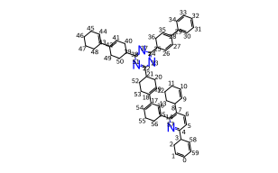 C1=CCC(c2ccc(C3C=CCCC3)c(C3=CC(C4=CCC(c5nc(C6C=CC(c7ccccc7)=CC6)nc(C6CC=C(C7=CCCCC7)CC6)n5)CC4)=CCC3)n2)C=C1